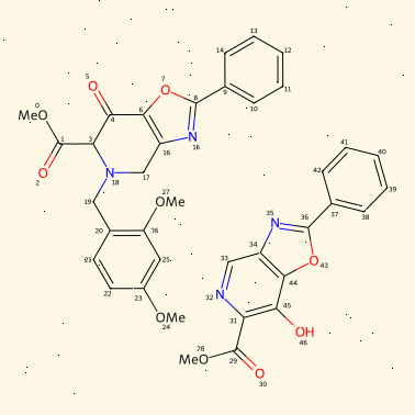 COC(=O)C1C(=O)c2oc(-c3ccccc3)nc2CN1Cc1ccc(OC)cc1OC.COC(=O)c1ncc2nc(-c3ccccc3)oc2c1O